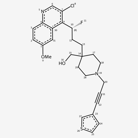 COc1ccc2ncc(Cl)c([C@H](F)CCC3(CO)CCN(CC#Cc4ccsc4)CC3)c2c1